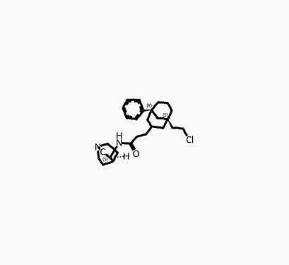 O=C(CCC1C[C@@]2(CCCl)CCC[C@@](c3ccccc3)(C1)C2)N[C@@H]1CN2CCC1CC2